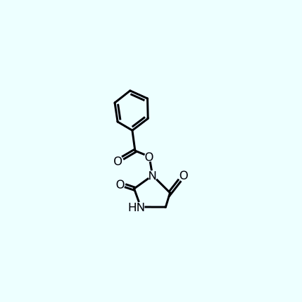 O=C(ON1C(=O)CNC1=O)c1ccccc1